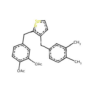 CC(=O)Oc1ccc(Cc2sccc2Cc2ccc(C)c(C)c2)cc1OC(C)=O